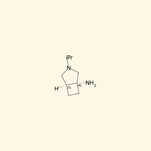 CC(C)N1C[C@@H]2CC[C@]2(N)C1